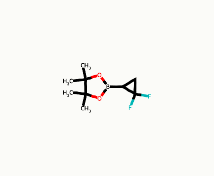 CC1(C)OB(C2CC2(F)F)OC1(C)C